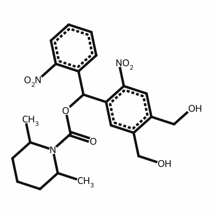 CC1CCCC(C)N1C(=O)OC(c1ccccc1[N+](=O)[O-])c1cc(CO)c(CO)cc1[N+](=O)[O-]